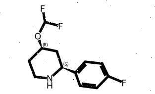 Fc1ccc([C@@H]2C[C@H](OC(F)F)CCN2)cc1